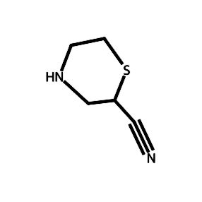 N#CC1CNCCS1